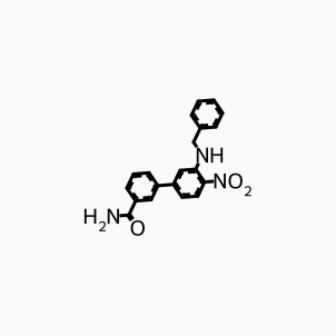 NC(=O)c1cccc(-c2ccc([N+](=O)[O-])c(NCc3ccccc3)c2)c1